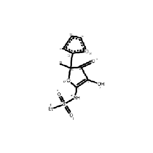 CCS(=O)(=O)NC1=C(O)C(=O)C(C)(c2ccco2)O1